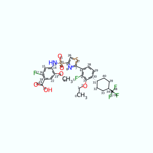 CCOc1c(F)c(-c2nc(S(=O)(=O)Nc3cc(F)c(C(=O)O)cc3OC)cs2)ccc1[C@H]1CC[C@H](C(F)(F)F)CC1